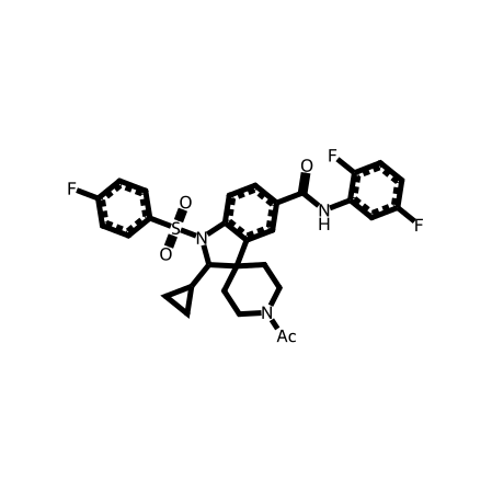 CC(=O)N1CCC2(CC1)c1cc(C(=O)Nc3cc(F)ccc3F)ccc1N(S(=O)(=O)c1ccc(F)cc1)C2C1CC1